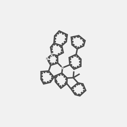 CC1(C)c2ccccc2-c2cccc(N(c3cccc(-c4ccccc4)c3)c3c(-c4ccccc4)nn4cc5ccccc5cc34)c21